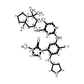 Cc1cnc(Nc2cc(-n3nnn(C)c3=O)c(OC3CCOC3)cc2F)nc1N[C@@H]1C[C@@H]2CCCN2C(C)(C)C1